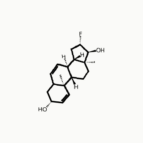 C[C@]12CC[C@H]3[C@@H](C=CC4C[C@@H](O)C=C[C@@]43C)[C@@H]1C[C@H](F)[C@H]2O